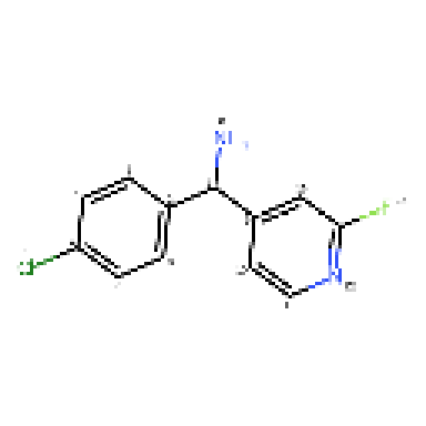 NC(c1ccc(Cl)cc1)c1ccnc(F)c1